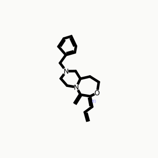 C=C/C=C1/OCCC2CN(Cc3ccccc3)CCN2C1=C